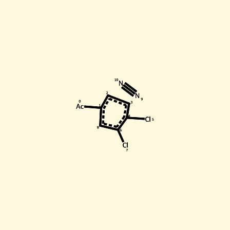 CC(=O)c1ccc(Cl)c(Cl)c1.N#N